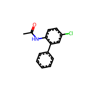 CC(=O)Nc1ccc(Cl)cc1-c1ccccc1